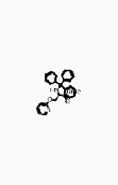 COC(=O)[C@@H](COc1ccccn1)NC(c1ccccc1)(c1ccccc1)c1ccccc1